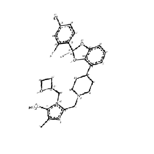 Cc1nc(CN2CCC(c3cccc4c3O[C@@](C)(c3ccc(Cl)cc3F)O4)CC2)n(C[C@@H]2CCO2)c1C(=O)O